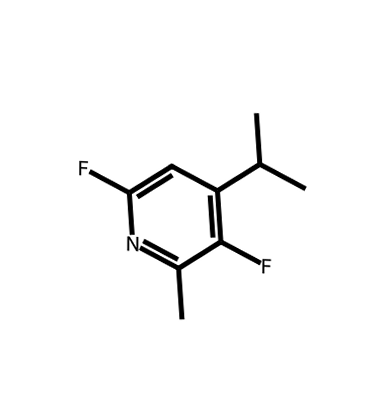 Cc1nc(F)cc(C(C)C)c1F